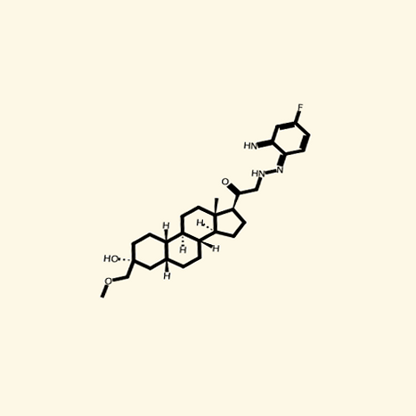 COC[C@@]1(O)CC[C@H]2[C@H](CC[C@@H]3[C@@H]2CC[C@]2(C)[C@@H](C(=O)CN/N=C4/C=CC(F)=CC4=N)CC[C@@H]32)C1